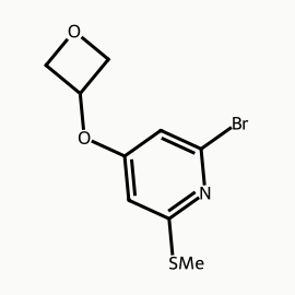 CSc1cc(OC2COC2)cc(Br)n1